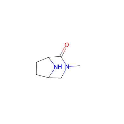 CN1CC2CCC(N2)C1=O